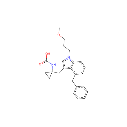 COCCCn1cc(CC2(NC(=O)O)CC2)c2c(Cc3ccccc3)cccc21